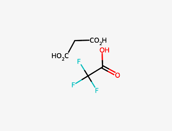 O=C(O)C(F)(F)F.O=C(O)CC(=O)O